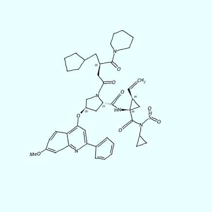 C=C[C@H]1C[C@]1(NC(=O)[C@@H]1C[C@@H](Oc2cc(-c3ccccc3)nc3cc(OC)ccc23)CN1C(=O)C[C@@H](CC1CCCC1)C(=O)N1CCCCC1)C(=O)N(C1CC1)[SH](=O)=O